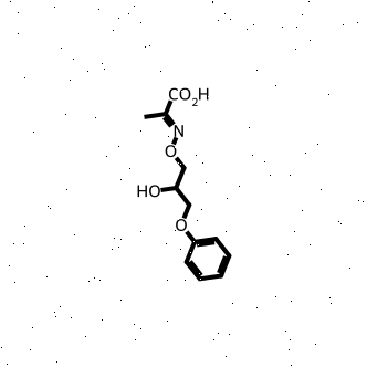 CC(=NOCC(O)COc1ccccc1)C(=O)O